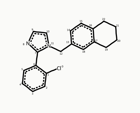 Clc1ccccc1-c1nccn1Cc1ccc2c(c1)CCCC2